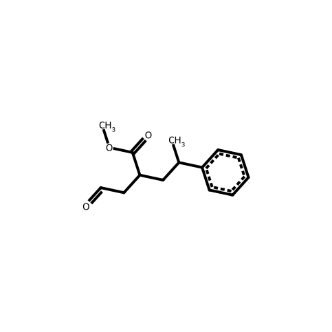 COC(=O)C(CC=O)CC(C)c1ccccc1